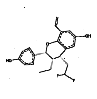 C=Cc1cc(O)cc2c1O[C@@H](c1ccc(O)cc1)[C@@H](CC)[C@H]2CC(F)F